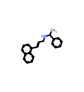 CC(NCC=Cc1cccc2ccccc12)c1ccccc1